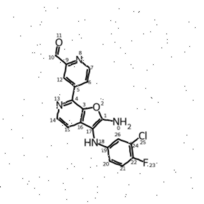 Nc1oc2c(-c3ccnc(C=O)c3)nccc2c1Nc1ccc(F)c(Cl)c1